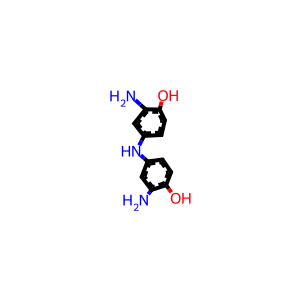 Nc1cc(Nc2ccc(O)c(N)c2)ccc1O